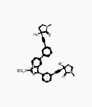 CCOC(=O)c1nc(-c2cccc(C#CC3(O)CCN(C)C3=O)c2)c2cc(-c3cccc(C#CC4(O)CCN(C)C4=O)c3)ccn12